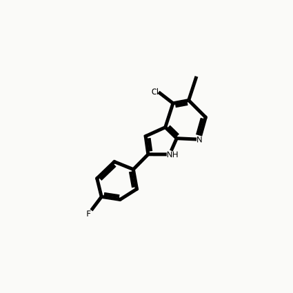 Cc1cnc2[nH]c(-c3ccc(F)cc3)cc2c1Cl